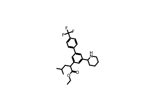 CCOC(=O)C(CC(C)C)c1cc(-c2ccc(C(F)(F)F)cc2)cc(C2CCCCN2)c1